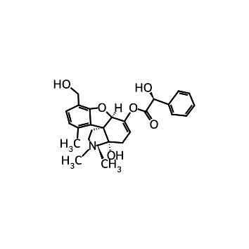 Cc1ccc(CO)c2c1[C@]13CCN(C)[C@H](C)[C@]1(O)CC=C(OC(=O)[C@@H](O)c1ccccc1)[C@@H]3O2